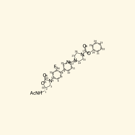 CC(=O)NC[C@H]1CN(c2ccc(-c3ccc(N4CCN(C(=O)Oc5ccccc5)CC4)nc3)c(F)c2)C(=O)O1